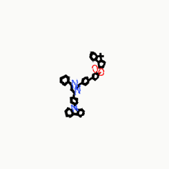 CC1(C)c2ccccc2-c2c1ccc1c2Oc2cc(-c3ccc(-c4nc(-c5ccccc5)cc(-c5ccc(-n6c7ccccc7c7ccccc76)cc5)n4)cc3)ccc2O1